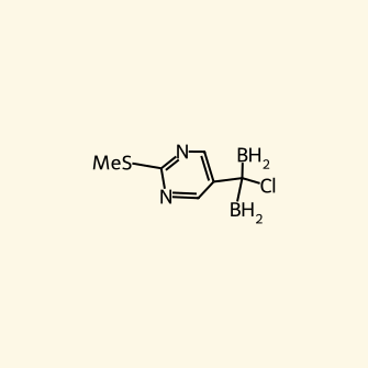 BC(B)(Cl)c1cnc(SC)nc1